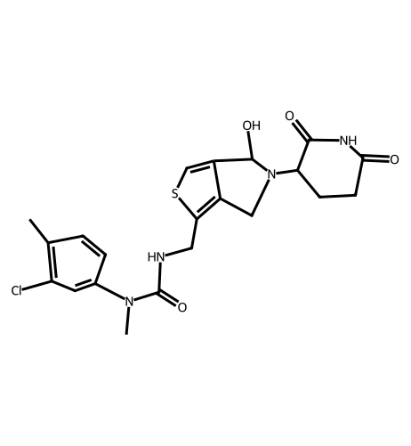 Cc1ccc(N(C)C(=O)NCc2scc3c2CN(C2CCC(=O)NC2=O)C3O)cc1Cl